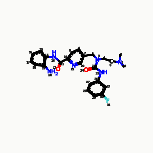 CN(C)CCN(Cc1ccc(C(=O)Nc2ccccc2N)nc1)C(=O)Nc1cccc(F)c1